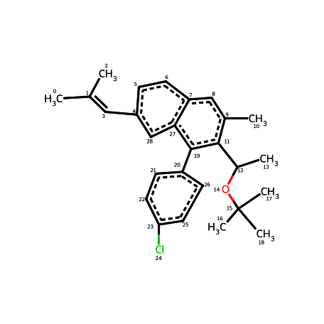 CC(C)=Cc1ccc2cc(C)c(C(C)OC(C)(C)C)c(-c3ccc(Cl)cc3)c2c1